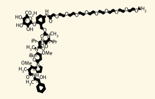 CC[C@H](C)[C@@H]([C@@H](CC(=O)N1CCC[C@H]1[C@H](OC)[C@@H](C)C(=O)N[C@H](C)[C@@H](O)c1ccccc1)OC)N(C)C(=O)[C@@H](NC(=O)[C@H](C(C)C)N(C)C(=O)OCc1cc(NC(=O)COCCOCCOCCOCCOCCOCCOCCOCCON)ccc1O[C@@H]1OC(C(=O)O)[C@@H](O)C(O)C1O)C(C)C